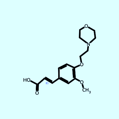 COc1cc(/C=C/C(=O)O)ccc1OCCN1CCOCC1